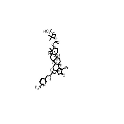 CC(C)C1=C2[C@H]3CC[C@@H]4[C@@]5(C)CC[C@H](OC(=O)[C@H]6C[C@@H](C(=O)O)C6(C)C)C(C)(C)[C@@H]5CC[C@@]4(C)[C@]3(C)CC[C@@]2(CC(=O)NCc2ccc(N)nc2)CC1=O